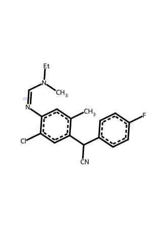 CCN(C)/C=N\c1cc(C)c(C(C#N)c2ccc(F)cc2)cc1Cl